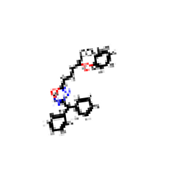 O=C(O)C(CCCc1nc(C(c2ccccc2)c2ccccc2)no1)Oc1ccccc1